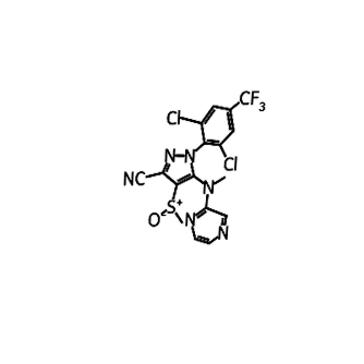 CN(c1cnccn1)c1c([S+](C)[O-])c(C#N)nn1-c1c(Cl)cc(C(F)(F)F)cc1Cl